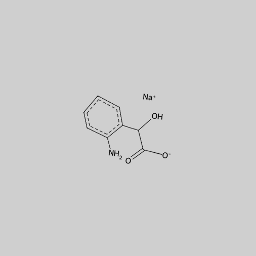 Nc1ccccc1C(O)C(=O)[O-].[Na+]